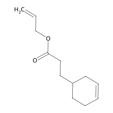 C=CCOC(=O)CCC1CC=CCC1